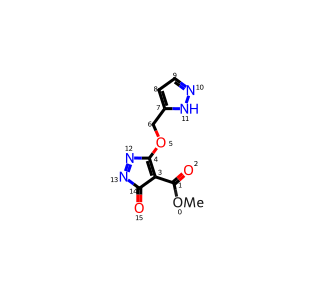 COC(=O)C1=C(OCc2ccn[nH]2)N=NC1=O